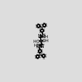 OC1C(c2cnn3c(-c4ccc(N(c5ccccc5)c5ccccc5)cc4)n[nH]c23)C(O)C1c1cnn2c(-c3ccc(N(c4ccccc4)c4ccccc4)cc3)n[nH]c12